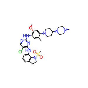 COc1cc(N2CCC(N3CCN(C)CC3)CC2)c(C)cc1Nc1ncc(Cl)c(Nc2cccc3c2N(S(C)(=O)=O)CC3)n1